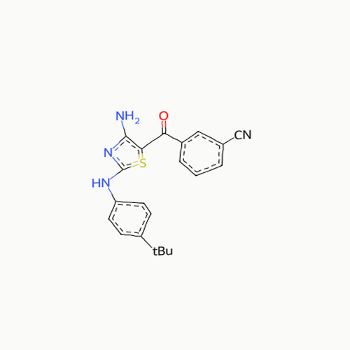 CC(C)(C)c1ccc(Nc2nc(N)c(C(=O)c3cccc(C#N)c3)s2)cc1